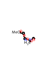 COC(=O)Cc1cccc(OCc2ccnc(OCc3nc(-c4ccco4)oc3C)c2)c1